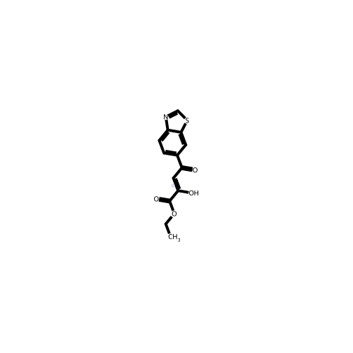 CCOC(=O)/C(O)=C/C(=O)c1ccc2ncsc2c1